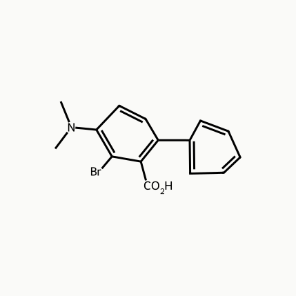 CN(C)c1ccc(-c2ccccc2)c(C(=O)O)c1Br